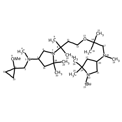 COC1(CN(C)C2CN(C(C)(C)CCOC(C)(C)CN(C)C3CN(C(C)(C)C)C(C)(C)C3)C(C)(C)C2)CC1